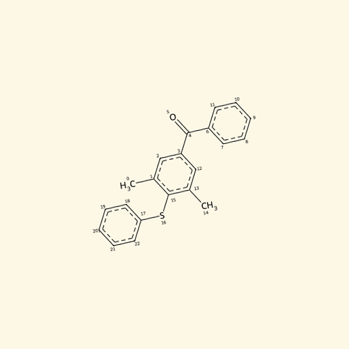 Cc1cc(C(=O)c2ccccc2)cc(C)c1Sc1cc[c]cc1